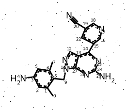 Cc1cc(N)cc(C)c1Cn1ncc2c(-c3cncc(C#N)c3)nc(N)nc21